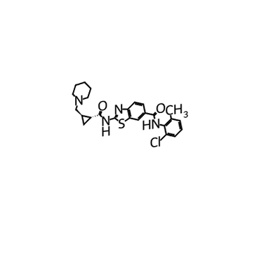 Cc1cccc(Cl)c1NC(=O)c1ccc2nc(NC(=O)[C@@H]3C[C@H]3CN3CCCCC3)sc2c1